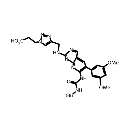 COc1cc(OC)cc(-c2cc3cnc(NCc4cn(CCC(=O)O)nn4)nc3nc2NC(=O)NC(C)(C)C)c1